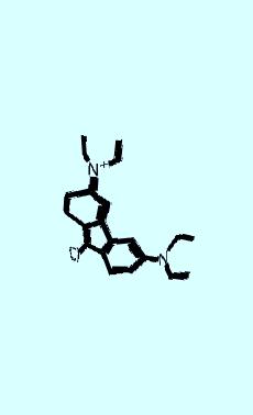 CCN(CC)c1ccc2c(c1)C1=CC(=[N+](CC)CC)C=CC1=C2Cl